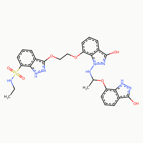 CCNS(=O)(=O)c1cccc2c(OCCOc3cccc4c(O)nn(NC(C)Oc5cccc6c(O)n[nH]c56)c34)n[nH]c12